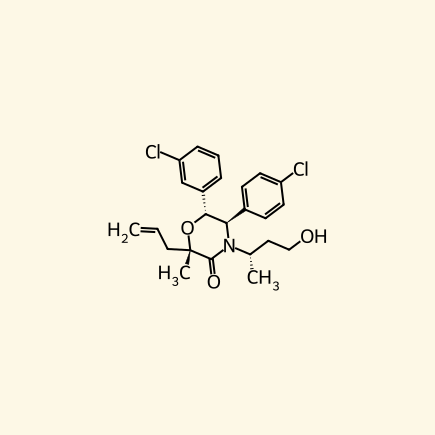 C=CC[C@]1(C)O[C@H](c2cccc(Cl)c2)[C@@H](c2ccc(Cl)cc2)N([C@@H](C)CCO)C1=O